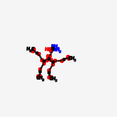 COC(=O)/C=C/c1ccc(OCCCCCCOc2cc(COc3cc(OCc4cc(OCCCCCCOc5ccc(/C=C/C(=O)OC)cc5)cc(OCCCCCCOc5ccc(/C=C/C(=O)OC)cc5)c4)cc(C(=O)OCCCCCCc4c(N)cc(N)cc4C(=O)O)c3)cc(OCCCCCCOc3ccc(/C=C/C(=O)OC)cc3)c2)cc1